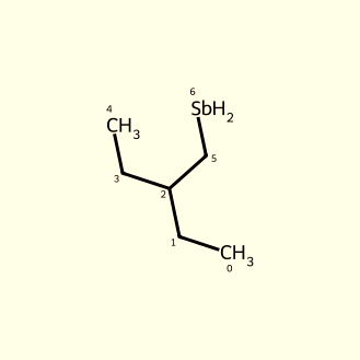 CCC(CC)[CH2][SbH2]